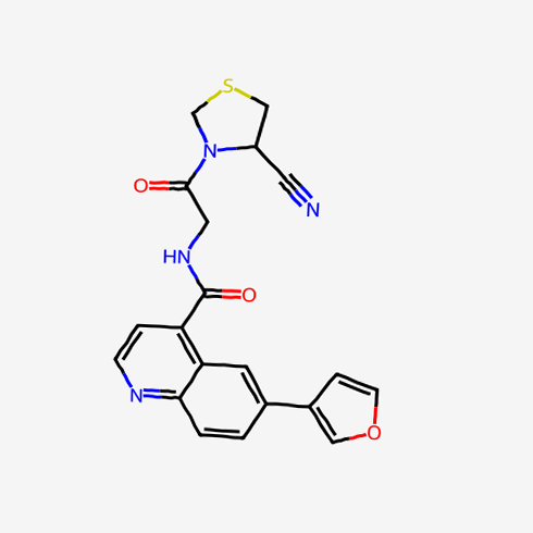 N#CC1CSCN1C(=O)CNC(=O)c1ccnc2ccc(-c3ccoc3)cc12